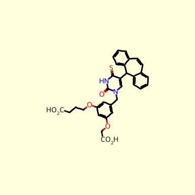 O=C(O)CCCOc1cc(Cn2cc(C3c4ccccc4C=Cc4ccccc43)c(=S)[nH]c2=O)cc(OCC(=O)O)c1